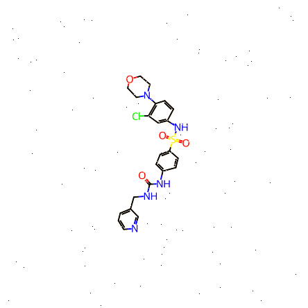 O=C(NCc1cccnc1)Nc1ccc(S(=O)(=O)Nc2ccc(N3CCOCC3)c(Cl)c2)cc1